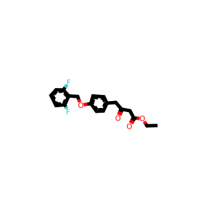 CCOC(=O)CC(=O)Cc1ccc(OCc2c(F)cccc2F)cc1